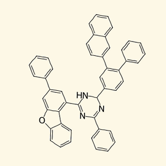 c1ccc(C2=NC(c3ccc(-c4ccccc4)c(-c4ccc5ccccc5c4)c3)NC(c3cc(-c4ccccc4)cc4oc5ccccc5c34)=N2)cc1